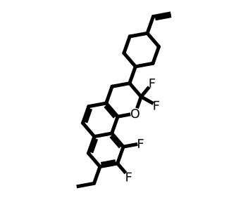 C=CC1CCC(C2Cc3ccc4cc(CC)c(F)c(F)c4c3OC2(F)F)CC1